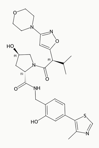 Cc1ncsc1-c1ccc(CNC(=O)[C@@H]2C[C@@H](O)CN2C(=O)[C@@H](c2cc(N3CCOCC3)no2)C(C)C)c(O)c1